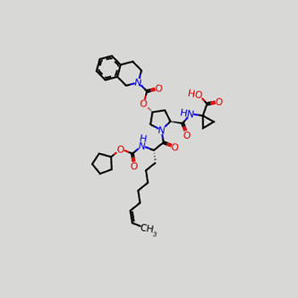 C/C=C\CCCCC[C@H](NC(=O)OC1CCCC1)C(=O)N1C[C@H](OC(=O)N2CCc3ccccc3C2)C[C@H]1C(=O)NC1(C(=O)O)CC1